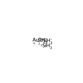 [Au+3].[SiH3-].[SiH3-].[SiH3-]